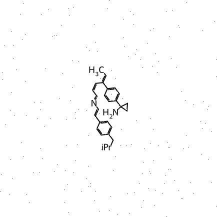 C\C=C(/C=C\C=N\C=C\c1ccc(CC(C)C)cc1)c1ccc(C2(N)CC2)cc1